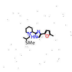 CSC(C)CN1CCCCC1c1nc(-c2ccc(C)o2)c[nH]1